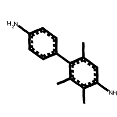 Cc1cc(N)c(C)c(C)c1-c1ccc(N)cc1